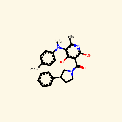 CCCCc1nc(O)c(C(=O)N2CC[C@@H](c3ccccc3)C2)c(O)c1N(C)c1ccc(OC)cc1